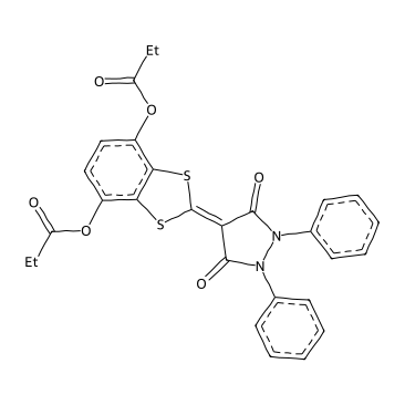 CCC(=O)Oc1ccc(OC(=O)CC)c2c1SC(=C1C(=O)N(c3ccccc3)N(c3ccccc3)C1=O)S2